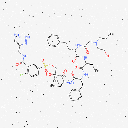 CCC(C)CCN(CCO)CC(=O)N[C@@H](CCc1ccccc1)C(=O)N[C@@H](CC(C)C)C(=O)N[C@@H](Cc1ccccc1)C(=O)N[C@@H](CC(C)C)C(=O)C(C)(O)COS(=O)(=O)c1ccc(F)c(C(=O)NC/C(=C/N)N=N)c1